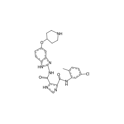 Cc1ccc(Cl)cc1NC(=O)c1nc[nH]c1C(=O)Nc1nc2cc(OC3CCNCC3)ccc2[nH]1